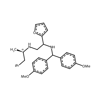 COc1ccc(C(NC(CN[C@H](C)CC(C)C)c2ccco2)c2ccc(OC)cc2)cc1